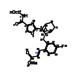 CCCCCCCCNC(=O)c1coc([C@H]2C3CCC(O3)[C@@H]2Cc2cc(F)ccc2/C=C/C(=O)OC)n1